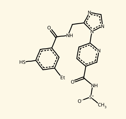 CCc1cc(S)cc(C(=O)NCc2ncnn2-c2ccc(C(=O)N[S+](C)[O-])cn2)c1